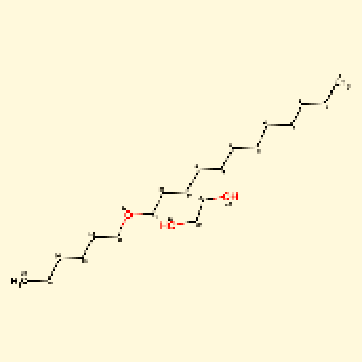 CCCCCCCCCCCCOCCCCCC.OCCO